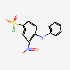 O=[N+]([O-])c1cc(S(=O)(=O)Cl)ccc1Nc1ccccc1